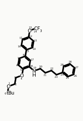 CC(C)(C)OCCOc1ccc(-c2ccc(OC(F)(F)F)cc2)cc1NCCCCc1ccccc1